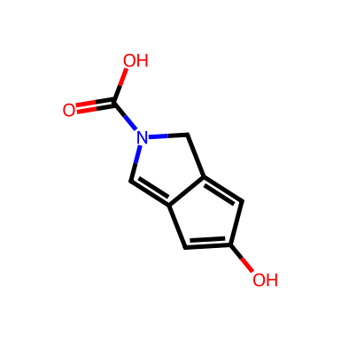 O=C(O)N1C=C2C=C(O)C=C2C1